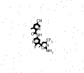 Cc1cc(C#N)cnc1C(=O)Nc1cnc(F)c([C@]2(C)C[C@@H](C(F)(F)F)N=C(N)O2)c1